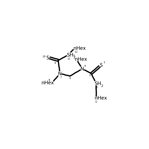 CCCCCC[SH2]C(=S)N(CCCCCC)CN(CCCCCC)C(=S)[SH2]CCCCCC